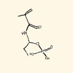 C=C(C)C(=O)NC(CC)OP(=O)(O)O